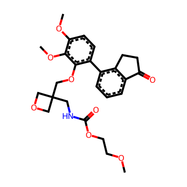 COCCOC(=O)NCC1(COc2c(-c3cccc4c3CCC4=O)ccc(OC)c2OC)COC1